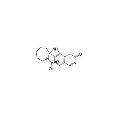 NC1(c2ccc3c(c2)CC(=O)N=C3)CCCCCN1C(=O)O